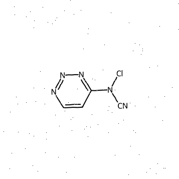 N#CN(Cl)c1ccnnn1